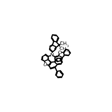 CC1(C)c2ccccc2-c2ccc(N(C3=CC=CC4Oc5cc(-c6ccccc6)c6ccccc6c5C34)c3cccc4c3oc3ccccc34)cc21